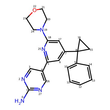 Nc1ncc(-c2cc(C3(c4ccccc4)CC3)cc(N3CCOCC3)n2)cn1